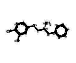 N[C@@H](COc1cnc(Cl)c(Br)c1)Cc1ccccc1